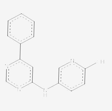 Cc1ccc(Nc2cc(-c3ccccc3)ncn2)cn1